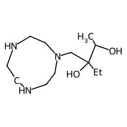 CCC(O)(CN1CCNCCNCC1)C(C)O